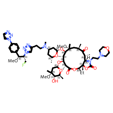 CC[C@H]1OC(=O)[C@H](C)[C@@H](O[C@H]2C[C@@](C)(OC)[C@@H](O)[C@H](C)O2)[C@H](C)[C@@H](O[C@H]2C[C@@H](N(C)CCc3cn([C@H](CF)[C@H](OC)c4ccc(-n5ccnn5)cc4)nn3)C[C@@H](C)O2)[C@](C)(OC)C[C@@H](C)C(=O)[C@H](C)[C@H]2N(CCN3CCOCC3)C(=O)O[C@]12C